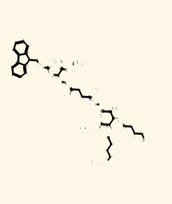 CCCCCCCCCCCCCCO[C@H]1[C@@H](OC)O[C@H](COC(=O)CCC(=O)OC[C@H](NC(=O)OCC2c3ccccc3-c3ccccc32)C(=O)OC(C)(C)C)[C@@H](O)[C@@H]1OCCCCCCCCCCCCCC